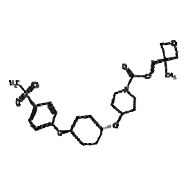 CC1(COC(=O)N2CCC(O[C@H]3CC[C@H](Oc4ccc(S(C)(=O)=O)cc4)CC3)CC2)COC1